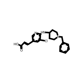 O=C(O)/C=C/c1cnc(NC2CCN(Cc3ccccc3)CC2)c(Cl)c1